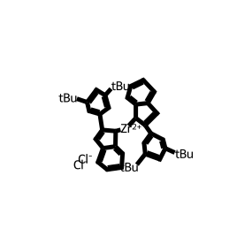 CC(C)(C)c1cc(C2=Cc3ccccc3[CH]2[Zr+2][CH]2C(c3cc(C(C)(C)C)cc(C(C)(C)C)c3)=Cc3ccccc32)cc(C(C)(C)C)c1.[Cl-].[Cl-]